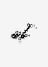 CC(=O)CCCCCC[C@@H]1[C@@H](CCC(O)c2ccncc2F)[C@H](O)C[C@@H]1O